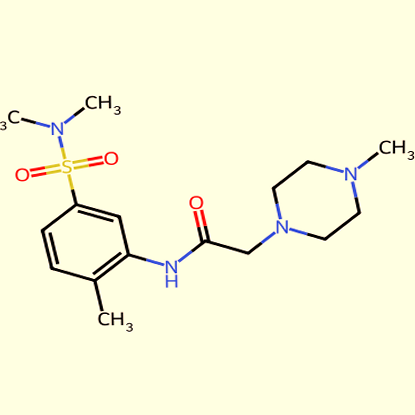 Cc1ccc(S(=O)(=O)N(C)C)cc1NC(=O)CN1CCN(C)CC1